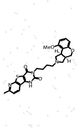 COc1cccc2c1[C@@H]1CN(CCCCn3c(=O)[nH]c4c(sc5nc(C)ccc54)c3=O)C[C@@H]1CO2